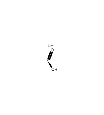 O=NO.[LiH]